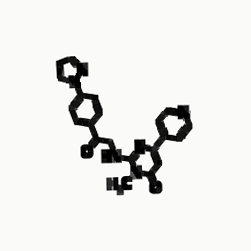 Cn1c(NCC(=O)c2ccc(-n3cccn3)cc2)nc(-c2ccncc2)cc1=O